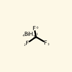 F[C](F)F.[BiH3]